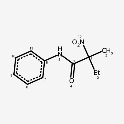 CCC(C)(C(=O)Nc1ccccc1)[N+](=O)[O-]